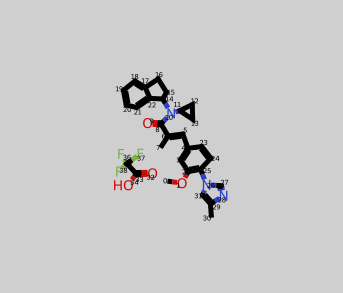 COc1cc(C=C(C)C(=O)N(C2CC2)C2CCc3ccccc32)ccc1-n1cnc(C)c1.O=C(O)C(F)(F)F